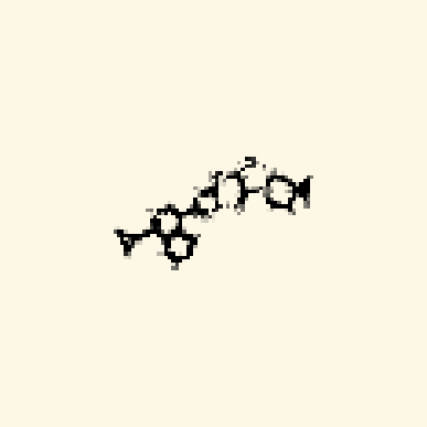 C[C@H](Nc1nnc(-c2cnc(C3CC3)c3ccccc23)o1)C(=O)N1CCC2(CC1)CC2